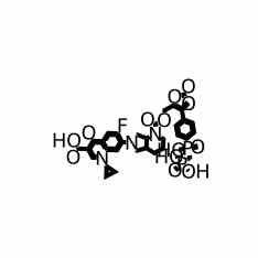 O=C(O)c1cn(C2CC2)c2cc(N3CC4CCCN(C(=O)OCc5oc(=O)oc5-c5ccc(P(=O)(O)CP(=O)(O)O)cc5)C4C3)c(F)cc2c1=O